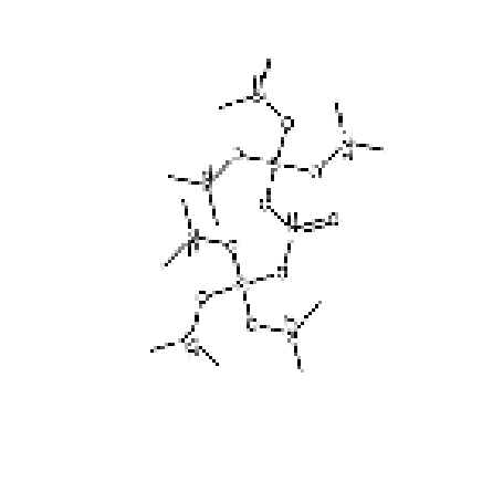 C[SiH](C)O[Si](O[SiH](C)C)(O[SiH](C)C)O[PH](=O)O[Si](O[SiH](C)C)(O[SiH](C)C)O[SiH](C)C